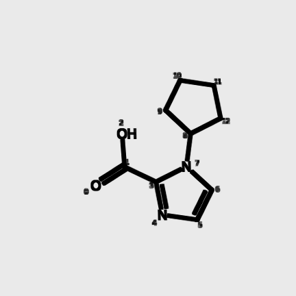 O=C(O)c1nccn1C1CCCC1